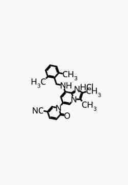 Cc1cccc(C)c1CNc1cc(-n2cc(C#N)ccc2=O)cn2c(C)c(C)nc12.Cl